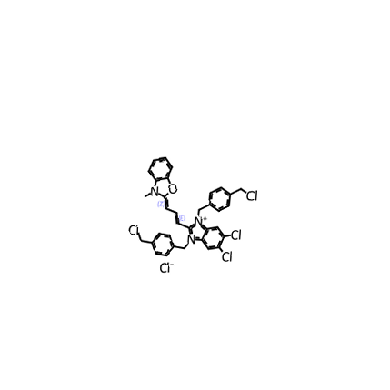 CN1/C(=C/C=C/c2n(Cc3ccc(CCl)cc3)c3cc(Cl)c(Cl)cc3[n+]2Cc2ccc(CCl)cc2)Oc2ccccc21.[Cl-]